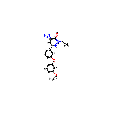 CCn1nc(-c2cccc(Oc3cccc(OC)c3)c2)cc(N)c1=O